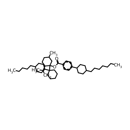 CCCCCCCC1CCC(c2ccc(C(=O)OC3(C4(C5CCC(CCCCC)CC5)CCCCC4)CC(C)CCC3C(C)C)cc2)CC1